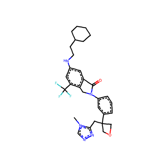 Cn1cnnc1CC1(c2cccc(N3Cc4c(cc(NCCC5CCCCC5)cc4C(F)(F)F)C3=O)c2)COC1